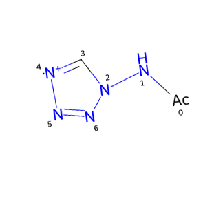 CC(=O)NN1C=[N+]N=N1